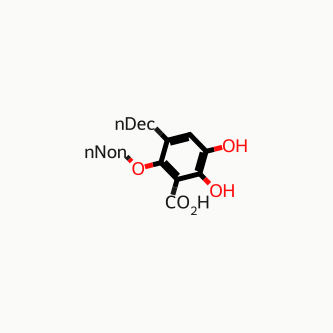 CCCCCCCCCCc1cc(O)c(O)c(C(=O)O)c1OCCCCCCCCC